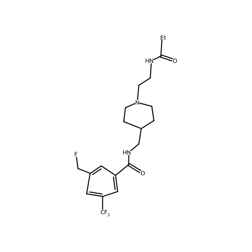 CCC(=O)NCCN1CCC(CNC(=O)c2cc(CF)cc(C(F)(F)F)c2)CC1